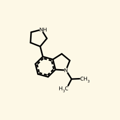 CC(C)N1CCc2c(C3CCNC3)cccc21